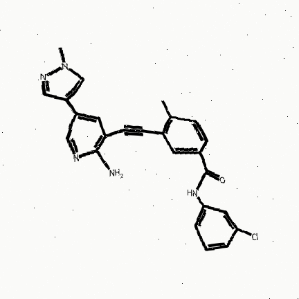 Cc1ccc(C(=O)Nc2cccc(Cl)c2)cc1C#Cc1cc(-c2cnn(C)c2)cnc1N